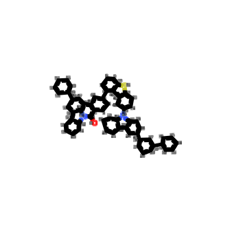 O=c1c2ccc(-c3cccc4sc5ccc(-n6c7ccccc7c7cc(-c8cccc(-c9ccccc9)c8)ccc76)cc5c34)cc2c2cc(-c3ccccc3)cc3c4ccccc4n1c23